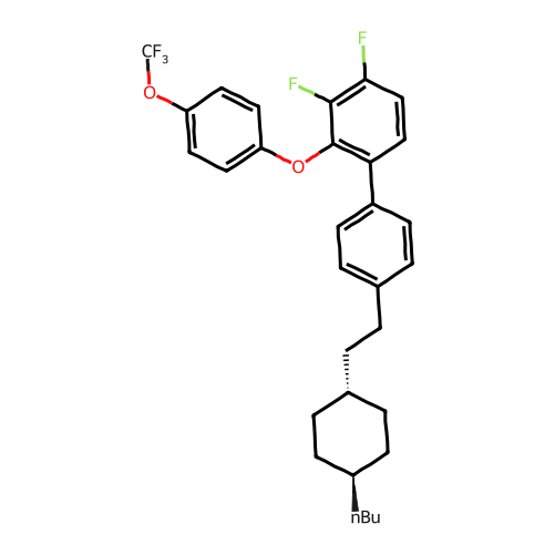 CCCC[C@H]1CC[C@H](CCc2ccc(-c3ccc(F)c(F)c3Oc3ccc(OC(F)(F)F)cc3)cc2)CC1